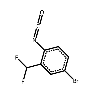 O=C=Nc1ccc(Br)cc1C(F)F